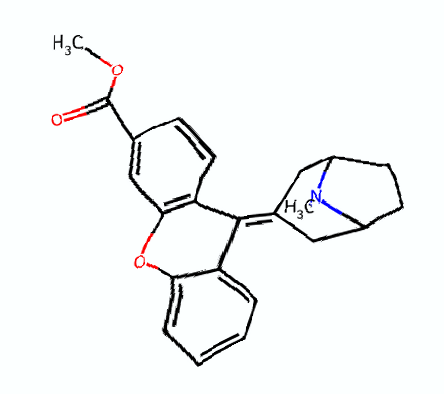 COC(=O)c1ccc2c(c1)Oc1ccccc1C2=C1CC2CCC(C1)N2C